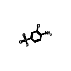 Nc1ccc(S(=O)(=O)F)cc1Cl